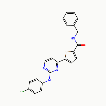 O=C(NCc1ccccc1)c1ccc(-c2ccnc(Nc3ccc(Cl)cc3)n2)s1